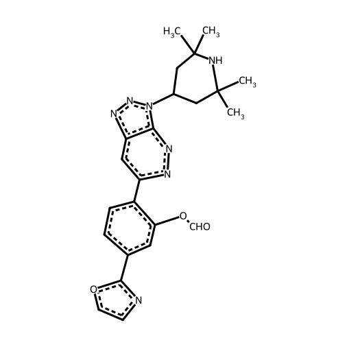 CC1(C)CC(n2nnc3cc(-c4ccc(-c5ncco5)cc4OC=O)nnc32)CC(C)(C)N1